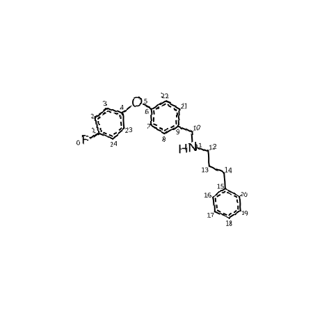 Fc1ccc(Oc2ccc(CNCCCc3ccccc3)cc2)cc1